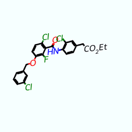 CCOC(=O)Cc1ccc(NC(=O)c2c(Cl)ccc(OCc3cccc(Cl)c3)c2F)c(Cl)c1